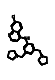 Clc1ccc2c(Nc3cc(CN4CCCC4)cc(CN4CCCC4)c3)ccnc2c1